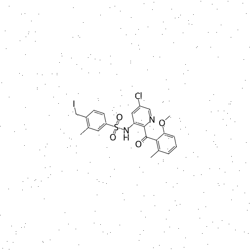 COc1cccc(C)c1C(=O)c1ncc(Cl)cc1NS(=O)(=O)c1ccc(CI)c(C)c1